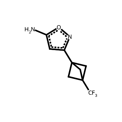 Nc1cc(C23CC(C(F)(F)F)(C2)C3)no1